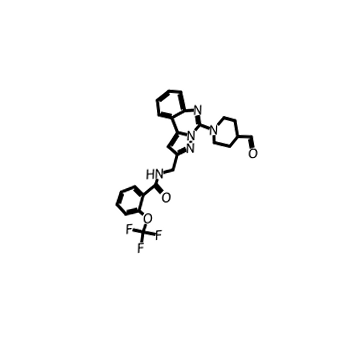 O=CC1CCN(c2nc3ccccc3c3cc(CNC(=O)c4ccccc4OC(F)(F)F)nn23)CC1